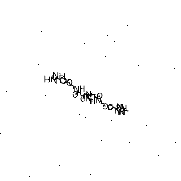 Cc1nnc(-c2ccc(OCCCNC(=O)CCC(C)(C#N)/N=N/C(C)(C#N)CCC(=O)NCCCOc3ccc(C(=N)N)cc3)cc2)nn1